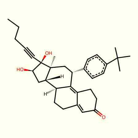 CCCC#C[C@@]1(O)[C@H](O)C[C@H]2[C@@H]3CCC4=CC(=O)CCC4=C3[C@@H](c3ccc(C(C)(C)C)cc3)C[C@@]21C